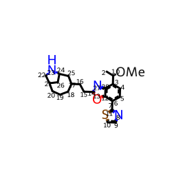 COC(C)c1ccc(-c2nccs2)c2oc(CCC3CCCC4CNC(C3)C4)nc12